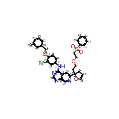 O=S(=O)(CCOCCC1(c2cc3c(Nc4ccc(OCc5cccc(F)c5)c(Br)c4)ncnc3cn2)CC=CO1)c1ccccc1